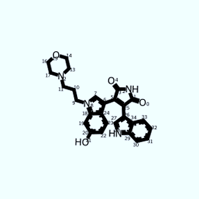 O=C1NC(=O)C(c2cn(CCCN3CCOCC3)c3cc(O)ccc23)=C1c1c[nH]c2ccccc12